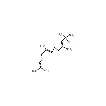 CC(C)=CCCC(C)=CCCC(C)=CC(C)(C)N